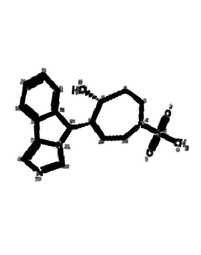 CS(=O)(=O)N1CC[C@@H](O)[C@H](C2c3ccccc3-c3cncn32)CC1